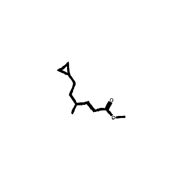 COC(=O)CCC(C)CCC1CC1